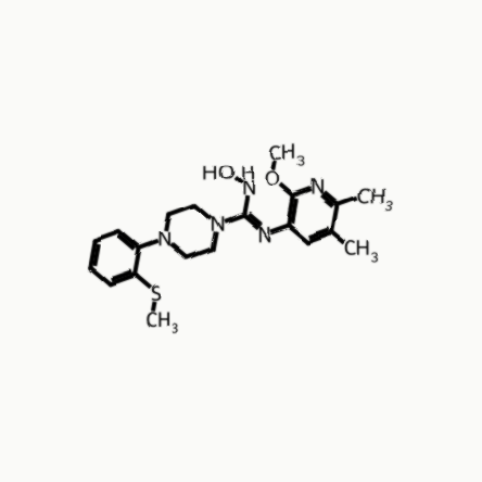 COc1nc(C)c(C)cc1N=C(NO)N1CCN(c2ccccc2SC)CC1